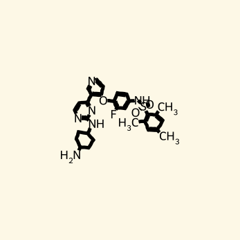 Cc1cc(C)c(S(=O)(=O)Nc2ccc(Oc3ccncc3-c3ccnc(NC4CCC(N)CC4)n3)c(F)c2)c(C)c1